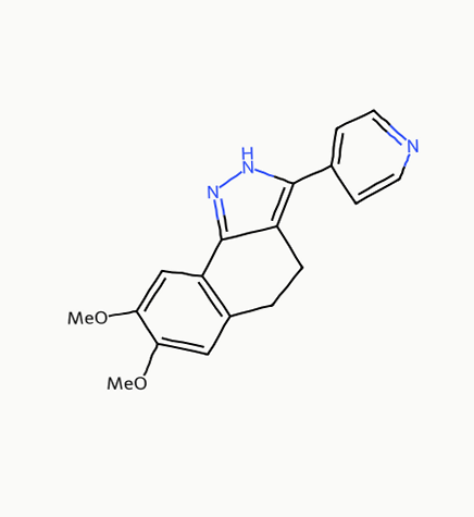 COc1cc2c(cc1OC)-c1n[nH]c(-c3ccncc3)c1CC2